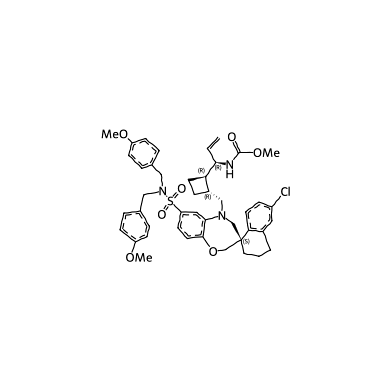 C=C[C@@H](NC(=O)OC)[C@@H]1CC[C@H]1CN1C[C@@]2(CCCc3cc(Cl)ccc32)COc2ccc(S(=O)(=O)N(Cc3ccc(OC)cc3)Cc3ccc(OC)cc3)cc21